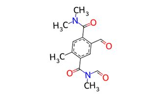 Cc1cc(C(=O)N(C)C)c(C=O)cc1C(=O)N(C)C=O